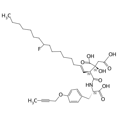 CC#CCOc1ccc(C[C@H](NC(=O)[C@@H](C=CCCCCCCC(F)CCCCCCC)[C@@](O)(CC(=O)O)C(=O)O)C(=O)O)cc1